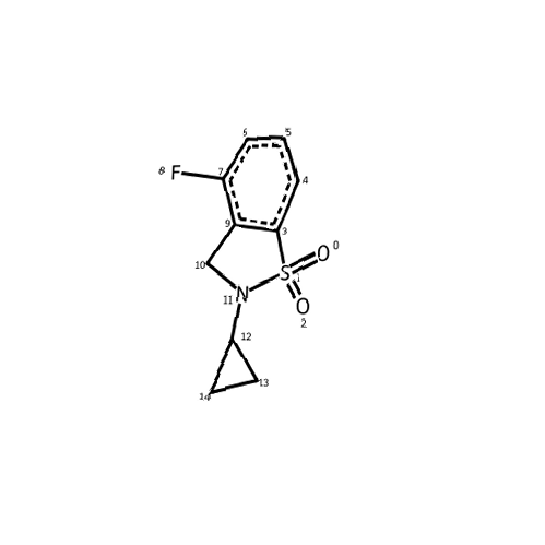 O=S1(=O)c2cccc(F)c2CN1C1CC1